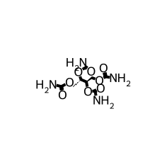 NC(=O)OC[C@H](OC(N)=O)[C@@H](COC(N)=O)OC(N)=O